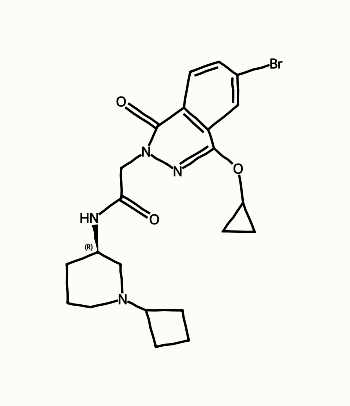 O=C(Cn1nc(OC2CC2)c2cc(Br)ccc2c1=O)N[C@@H]1CCCN(C2CCC2)C1